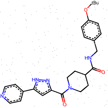 CC(C)(C)Oc1ccc(CNC(=O)C2CCN(C(=O)c3cc(-c4ccncc4)[nH]n3)CC2)cc1